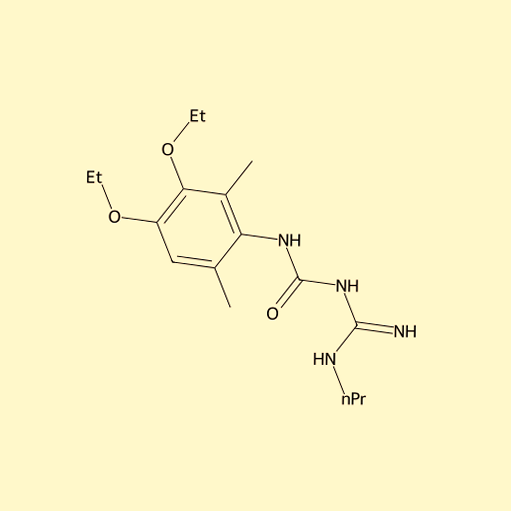 CCCNC(=N)NC(=O)Nc1c(C)cc(OCC)c(OCC)c1C